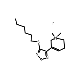 CCCCCCSc1nsnc1C1=CCC[N+](C)(C)C1.[I-]